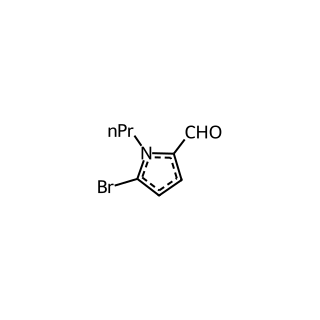 CCCn1c(Br)ccc1C=O